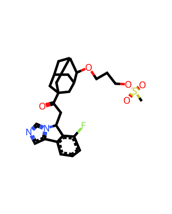 CS(=O)(=O)OCCCOC1C2CC3CC1CC(C(=O)CC1c4c(F)cccc4-c4cncn41)(C3)C2